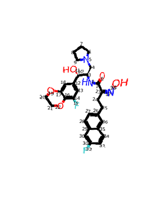 O=C(N[C@H](CN1CCCC1)[C@@H](O)c1cc(F)c2c(c1)OCCO2)/C(CCc1ccc2cc(F)ccc2c1)=N\O